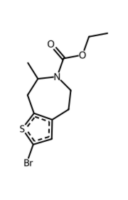 CCOC(=O)N1CCc2cc(Br)sc2CC1C